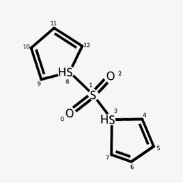 O=S(=O)([SH]1C=CC=C1)[SH]1C=CC=C1